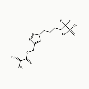 C=C(C)C(=O)OCc1cn(CCCCC(F)(F)P(=O)(O)O)nn1